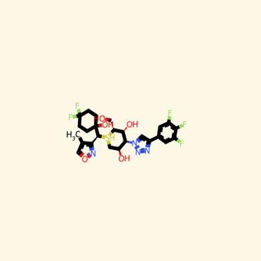 Cc1conc1[C@H]([SH]1C[C@H](O)[C@H](n2cc(-c3cc(F)c(F)c(F)c3)nn2)[C@@H](O)[C@H]1CO)C1(O)CCC(F)(F)CC1